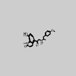 COc1ccc(CC(C)NCC(=O)c2ccc(O)c3[nH]c(=O)ccc23)cc1